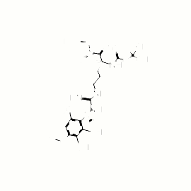 COc1cc(C)c(S(=O)(=O)NC(=N)NCCC[C@H](NC(=O)OC(C)(C)C)C(=O)N(C)OC)c(C)c1C